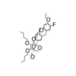 CCCCO[C@@H]1[C@@H](OCCCC)[C@@]2(c3ccc(Cl)c(Cc4ccc(OCC)c(F)c4)c3)OC[C@](C=O)(O2)[C@H]1OCCCC